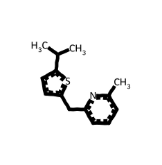 Cc1cccc(Cc2ccc(C(C)C)s2)n1